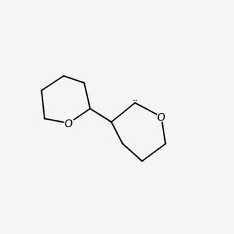 [C]1OCCCC1C1CCCCO1